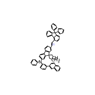 CCC1(CC)c2cc(/C=C/c3cccc4c3-c3ccccc3C4(c3ccccc3)c3ccccc3)ccc2-c2ccc(N(c3ccccc3)c3cccc(-c4ccc5ccccc5c4)c3)cc21